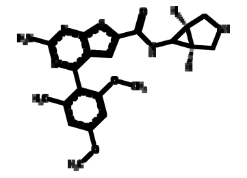 COc1cc(C)c(-c2nc(N)nc3sc(C(=O)NC4[C@H]5CNC[C@@H]45)cc23)c(OC)c1